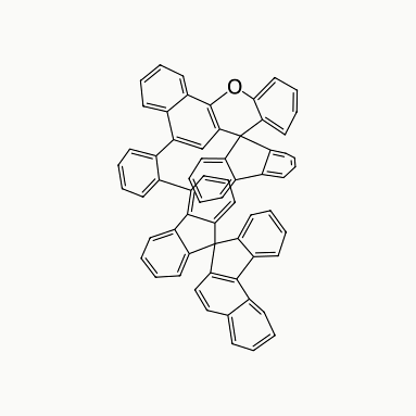 c1ccc2c(c1)Oc1c(cc(-c3ccccc3-c3cccc4c3-c3ccccc3C43c4ccccc4-c4c3ccc3ccccc43)c3ccccc13)C21c2ccccc2-c2ccccc21